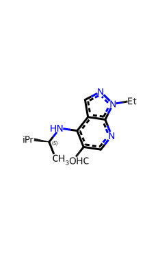 CCn1ncc2c(N[C@@H](C)C(C)C)c(C=O)cnc21